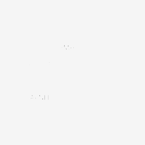 C=CCCC(NC(C)=O)C(=O)OC